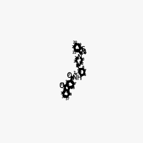 O=C(NC[C@H]1CCCC[C@@H]1CN1CCN(c2nsc3ccccc23)CC1)c1ccc2c(c1)C(=O)c1ccccc1-2